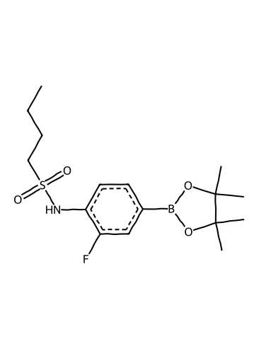 CCCCS(=O)(=O)Nc1ccc(B2OC(C)(C)C(C)(C)O2)cc1F